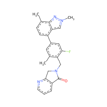 Cc1cc(-c2ccc(C)c3nn(C)cc23)cc(F)c1CN1Cc2ncccc2C1=O